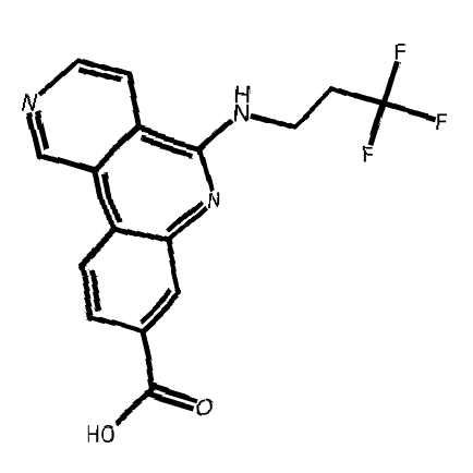 O=C(O)c1ccc2c(c1)nc(NCCC(F)(F)F)c1ccncc12